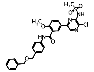 COc1ccc(-c2cnc(Cl)c(NS(C)(=O)=O)n2)cc1C(=O)Nc1ccc(COCc2ccccc2)cc1